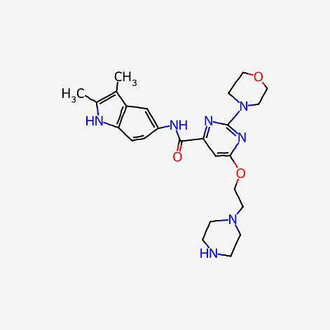 Cc1[nH]c2ccc(NC(=O)c3cc(OCCN4CCNCC4)nc(N4CCOCC4)n3)cc2c1C